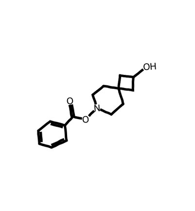 O=C(ON1CCC2(CC1)CC(O)C2)c1ccccc1